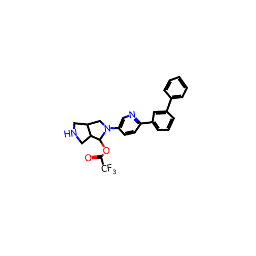 O=C(OC1C2CNCC2CN1c1ccc(-c2cccc(-c3ccccc3)c2)nc1)C(F)(F)F